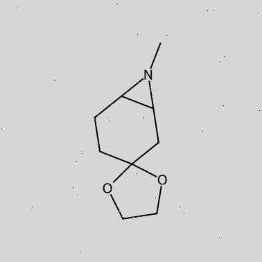 CN1C2CCC3(CC21)OCCO3